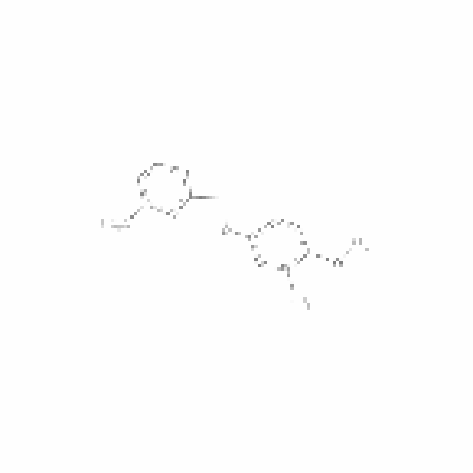 Cc1cc(OCc2cccc(C(=O)O)c2)ccc1OC(F)(F)F